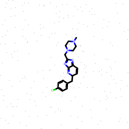 CN1CCN(CC2=NC3=NC(Cc4ccc(Cl)cc4)C=CC3=N2)CC1